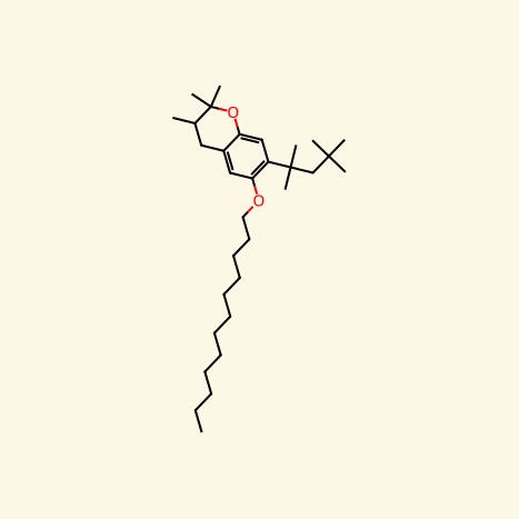 CCCCCCCCCCCCOc1cc2c(cc1C(C)(C)CC(C)(C)C)OC(C)(C)C(C)C2